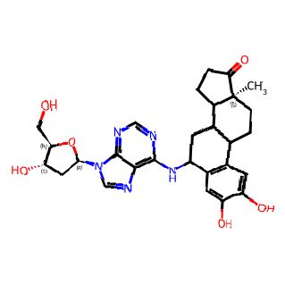 C[C@]12CCC3c4cc(O)c(O)cc4C(Nc4ncnc5c4ncn5[C@H]4C[C@H](O)[C@@H](CO)O4)CC3C1CCC2=O